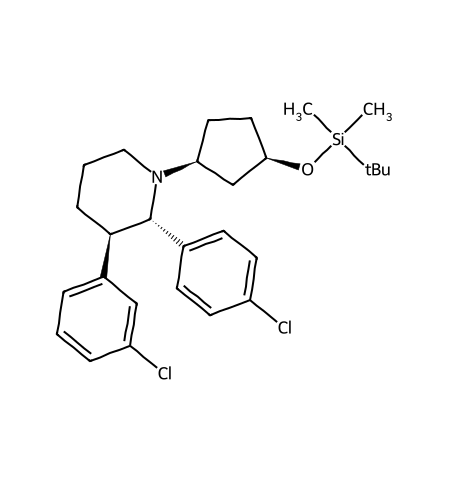 CC(C)(C)[Si](C)(C)O[C@@H]1CC[C@H](N2CCC[C@H](c3cccc(Cl)c3)[C@H]2c2ccc(Cl)cc2)C1